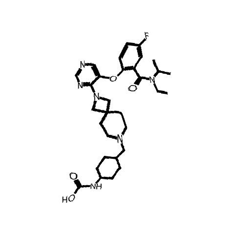 CCN(C(=O)c1cc(F)ccc1Oc1cncnc1N1CC2(CCN(CC3CCC(NC(=O)O)CC3)CC2)C1)C(C)C